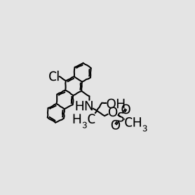 CC(CO)(COS(C)(=O)=O)NCc1c2ccccc2c(Cl)c2cc3ccccc3cc12